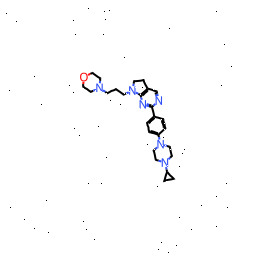 c1cc(N2CCN(C3CC3)CC2)ccc1-c1ncc2c(n1)N(CCCN1CCOCC1)CC2